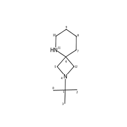 CC(C)(C)N1CC2(CCCCN2)C1